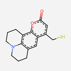 O=c1cc(CS)c2cc3c4c(c2o1)CCCN4CCC3